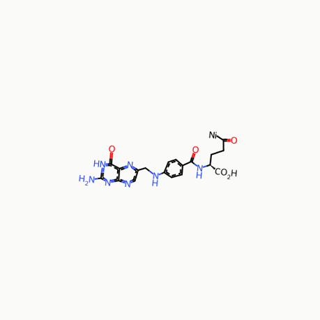 Nc1nc2ncc(CNc3ccc(C(=O)N[C@@H](CC[C](=O)[Ni])C(=O)O)cc3)nc2c(=O)[nH]1